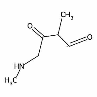 CNCC(=O)C(C)[C]=O